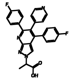 CC(C(=O)O)n1cc2c(-c3ccc(F)cc3)c(-c3ccncc3)c(-c3ccc(F)cc3)nc2n1